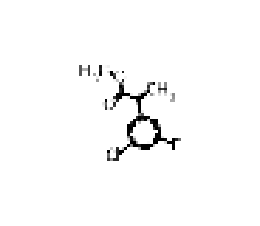 C=C(C(=O)OC)c1cc(F)cc(Cl)c1